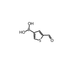 O=Cc1cc(B(O)O)cs1